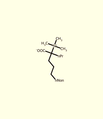 CCCCCCCCCCCCC(CCC)(C(=O)[O-])[N+](C)(C)C